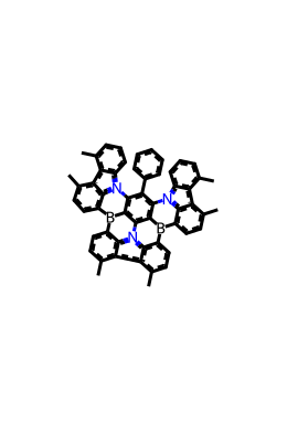 Cc1cccc2c1c1c(C)ccc3c1n2-c1c2c4c5c(c1-c1ccccc1)-n1c6cccc(C)c6c6c(C)ccc(c61)B5c1ccc(C)c5c6c(C)ccc(c6n-4c15)B23